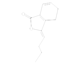 CCC/C=C1\OC(=O)C2=C1CCC=C2